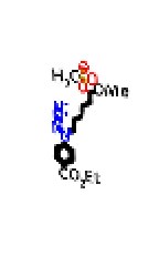 CCOC(=O)c1ccc(N(CCCCCC(OC)OS(C)(=O)=O)N=[N+]=[N-])cc1